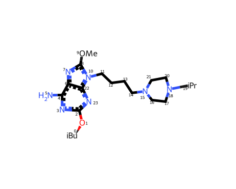 CC[C@H](C)Oc1nc(N)c2nc(OC)n(CCCCN3CCN(C(C)C)CC3)c2n1